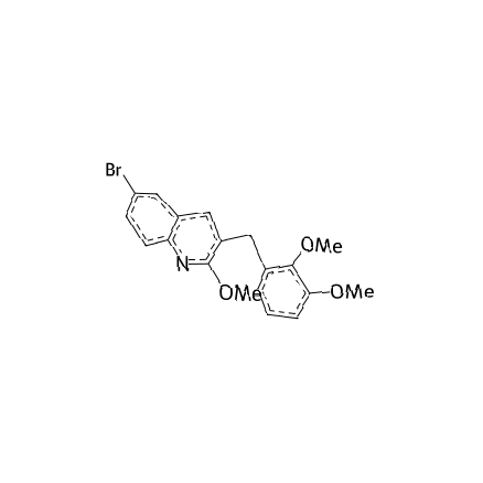 COc1cccc(Cc2cc3cc(Br)ccc3nc2OC)c1OC